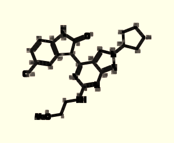 COCCNc1nc(C2C(=O)Nc3ccc(Cl)cc32)c2cn(C3CCCC3)nc2n1